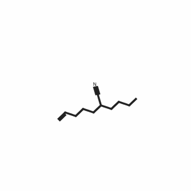 C=CCCCC(C#N)CCCC